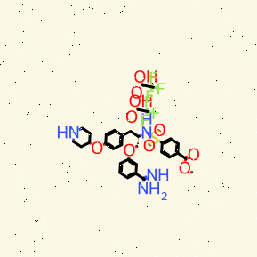 COC(=O)c1ccc(S(=O)(=O)N[C@H](COc2cccc(C(=N)N)c2)Cc2ccc(OC3CCNCC3)cc2)cc1.O=C(O)C(F)(F)F.O=C(O)C(F)(F)F